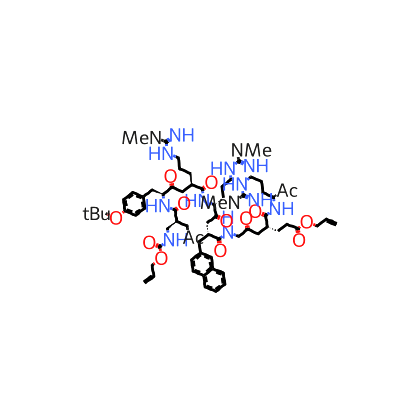 C=CCOC(=O)CC[C@H](CC(=O)CNC(=O)[C@@H](CC(=O)[C@@H](CCCNC(=N)NC)NC(=O)[C@H](CCCNC(=N)NC)CC(=O)[C@H](Cc1ccc(OC(C)(C)C)cc1)NC(=O)[C@H](CNC(=O)OCC=C)CC(C)=O)Cc1ccc2ccccc2c1)C(=O)N[C@@H](CCCNC(=N)NC)C(C)=O